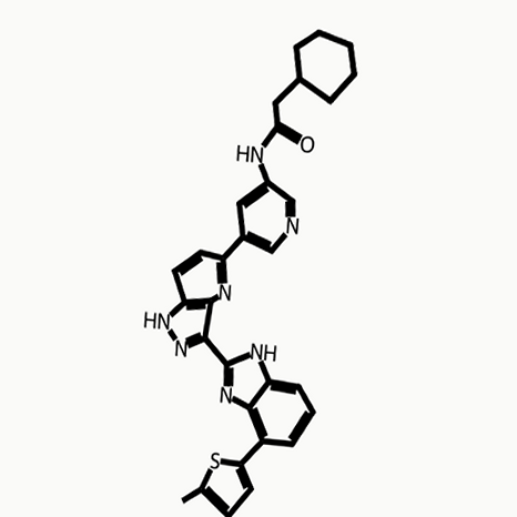 Cc1ccc(-c2cccc3[nH]c(-c4n[nH]c5ccc(-c6cncc(NC(=O)CC7CCCCC7)c6)nc45)nc23)s1